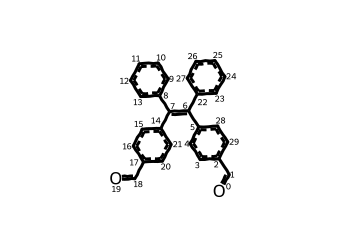 O=Cc1ccc(C(=C(c2ccccc2)c2ccc(C=O)cc2)c2ccccc2)cc1